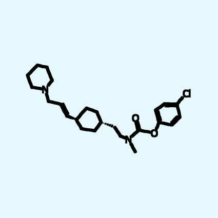 CN(CC[C@H]1CC[C@H](C=CCN2CCCCC2)CC1)C(=O)Oc1ccc(Cl)cc1